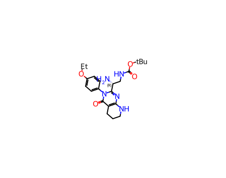 CCOc1ccc(-n2c([C@H](N)CNC(=O)OC(C)(C)C)nc3c(c2=O)CCCN3)cc1